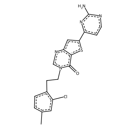 Cc1ccc(CCn2cnc3cc(-c4ccnc(N)n4)sc3c2=O)c(Cl)c1